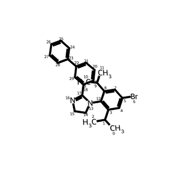 CC(C)c1cc(Br)cc(C(C)C)c1N1CCN=C1c1cccc(-c2ccccc2)c1